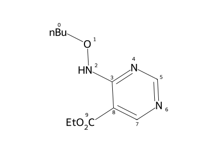 CCCCONc1ncncc1C(=O)OCC